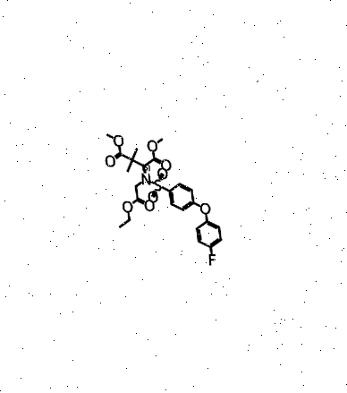 CCOC(=O)CN([C@H](C(=O)OC)C(C)(C)C(=O)OC)S(=O)(=O)c1ccc(Oc2ccc(F)cc2)cc1